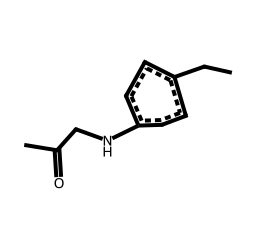 CCc1ccc(NCC(C)=O)cc1